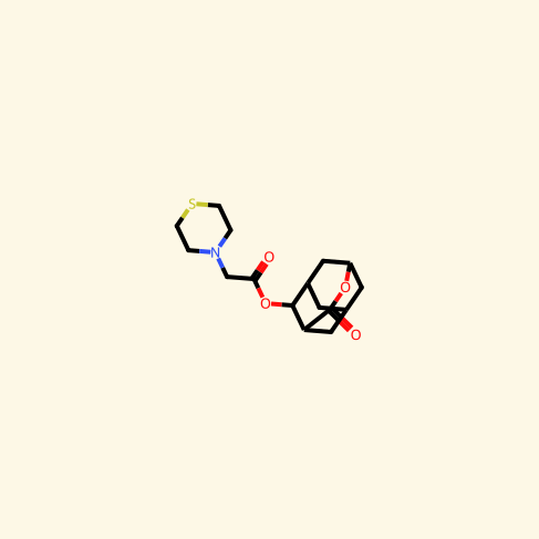 O=C(CN1CCSCC1)OC1C2CC3CC(C2)OC(=O)C1C3